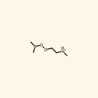 C[SiH2]CCOOB(C)C